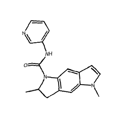 CC1Cc2cc3c(ccn3C)cc2N1C(=O)Nc1cccnc1